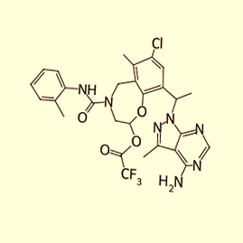 Cc1ccccc1NC(=O)N1Cc2c(C)c(Cl)cc(C(C)n3nc(C)c4c(N)ncnc43)c2OC(OC(=O)C(F)(F)F)C1